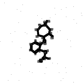 CC(=O)Oc1ccccc1OC1CCCN(C)CC1C